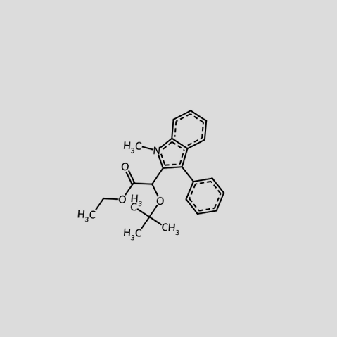 CCOC(=O)C(OC(C)(C)C)c1c(-c2ccccc2)c2ccccc2n1C